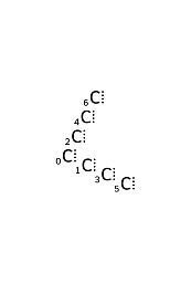 [C].[C].[C].[C].[C].[C].[C]